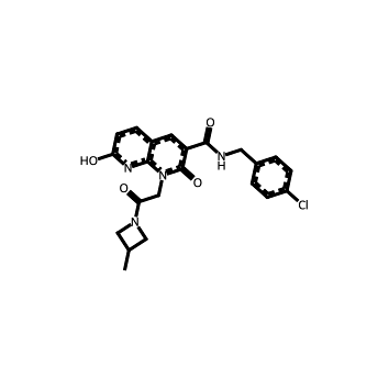 CC1CN(C(=O)Cn2c(=O)c(C(=O)NCc3ccc(Cl)cc3)cc3ccc(O)nc32)C1